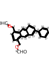 O=COCc1ccc(COC=O)c2cc3cc(-c4ccccc4)ccc3cc12